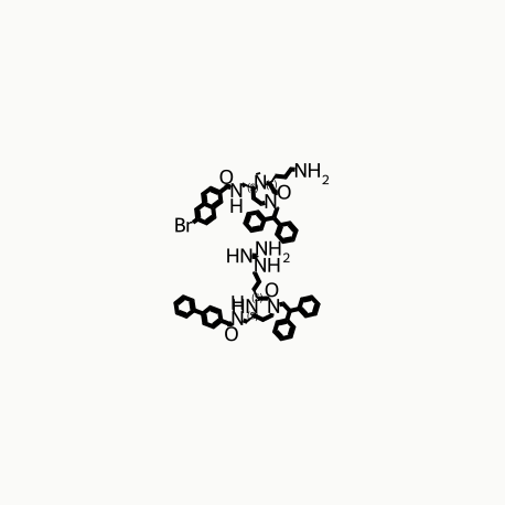 CN1[C@H](CNC(=O)c2ccc3cc(Br)ccc3c2)CCN(CC(c2ccccc2)c2ccccc2)C(=O)[C@@H]1CCCN.N=C(N)NCCC[C@@H]1N[C@H](CNC(=O)c2ccc(-c3ccccc3)cc2)CCN(CC(c2ccccc2)c2ccccc2)C1=O